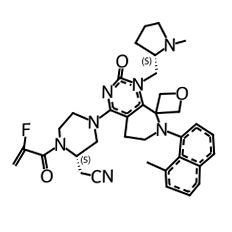 C=C(F)C(=O)N1CCN(c2nc(=O)n(C[C@@H]3CCCN3C)c3c2CCN(c2cccc4cccc(C)c24)C32COC2)C[C@@H]1CC#N